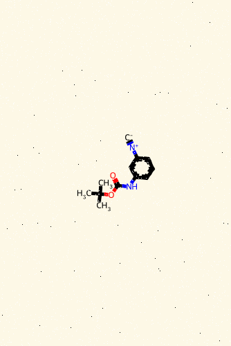 [C-]#[N+]c1cccc(NC(=O)OC(C)(C)C)c1